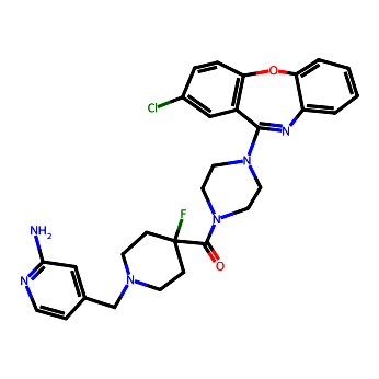 Nc1cc(CN2CCC(F)(C(=O)N3CCN(C4=Nc5ccccc5Oc5ccc(Cl)cc54)CC3)CC2)ccn1